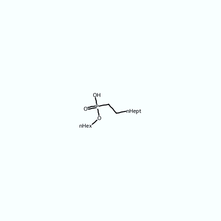 CCCCCCCCCP(=O)(O)OCCCCCC